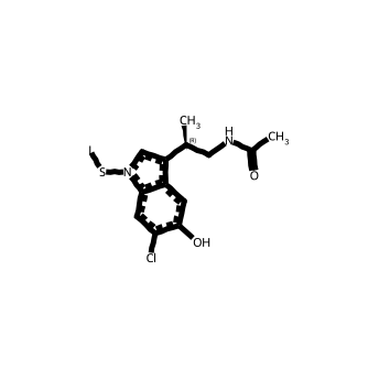 CC(=O)NC[C@H](C)c1cn(SI)c2cc(Cl)c(O)cc12